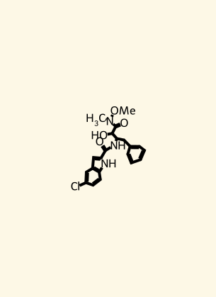 CON(C)C(=O)C(O)C(Cc1ccccc1)NC(=O)c1cc2cc(Cl)ccc2[nH]1